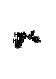 C=N/C=C(\C=C(/C)c1ccc2[nH]nc(C(=O)Nc3cnccn3)c2c1)CN1CCC(C)CC1